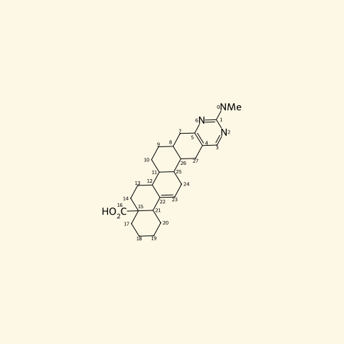 CNc1ncc2c(n1)CC1CCC3C4CCC5(C(=O)O)CCCCC5C4=CCC3C1C2